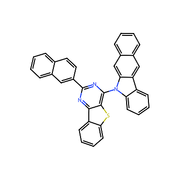 c1ccc2cc(-c3nc(-n4c5ccccc5c5cc6ccccc6cc54)c4sc5ccccc5c4n3)ccc2c1